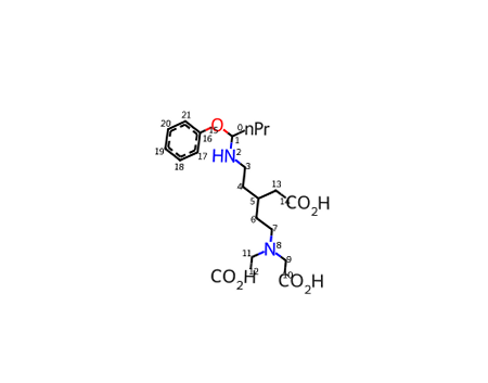 CCCC(NCCC(CCN(CC(=O)O)CC(=O)O)CC(=O)O)Oc1ccccc1